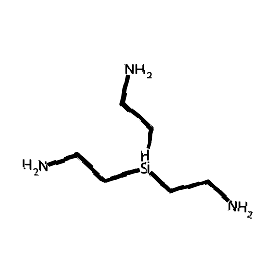 NCC[SiH](CCN)CCN